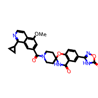 COc1cc(C(=O)N2CCC3(CC2)NC(=O)c2cc(-c4noc(=O)[nH]4)ccc2O3)cc2c(C3CC3)nccc12